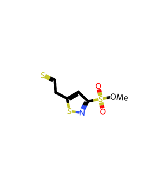 COS(=O)(=O)c1cc(CC=S)sn1